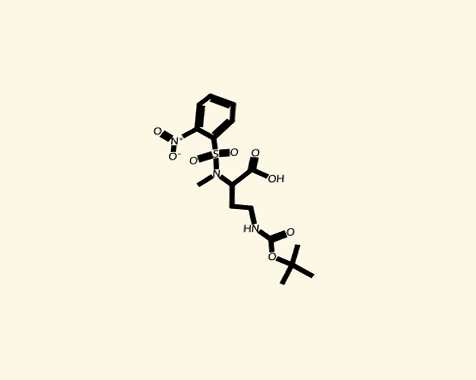 CN(C(CCNC(=O)OC(C)(C)C)C(=O)O)S(=O)(=O)c1ccccc1[N+](=O)[O-]